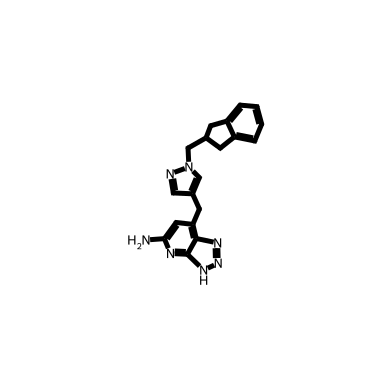 Nc1cc(Cc2cnn(CC3Cc4ccccc4C3)c2)c2nn[nH]c2n1